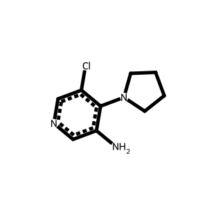 Nc1cncc(Cl)c1N1CCCC1